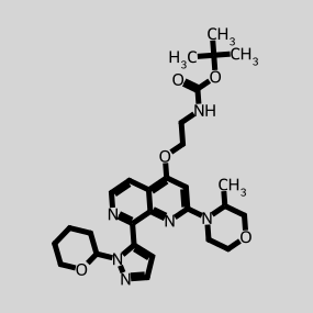 CC1COCCN1c1cc(OCCNC(=O)OC(C)(C)C)c2ccnc(-c3ccnn3C3CCCCO3)c2n1